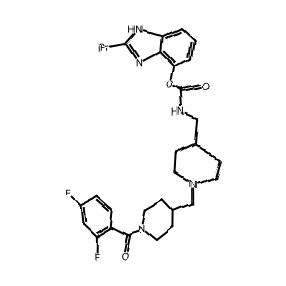 CC(C)c1nc2c(OC(=O)NCC3CCN(CC4CCN(C(=O)c5ccc(F)cc5F)CC4)CC3)cccc2[nH]1